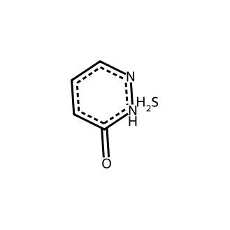 O=c1cccn[nH]1.S